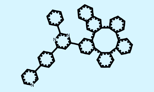 c1ccc(-c2nc(-c3ccc(-c4cccnc4)cc3)cc(-c3ccc4c5ccccc5c5ccccc5c5ccccc5c5cc6ccccc6cc5c4c3)n2)cc1